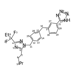 CCC(F)(F)c1nc(CCC(C)C)n(Cc2ccc(Cc3cccc(-c4nnn[nH]4)c3)cc2)n1